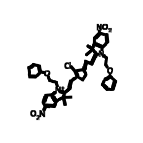 CC1(C)C(/C=C/C2=C(Cl)C(=C/C=C3/N(CCOc4ccccc4)c4ccc([N+](=O)[O-])cc4C3(C)C)/CC2)=[N+](CCOc2ccccc2)c2ccc([N+](=O)[O-])cc21